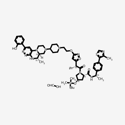 Cc1ncsc1-c1ccc([C@H](C)NC(=O)[C@@H]2C[C@@H](O[Si](C)(C)C(C)(C)C)CN2C(=O)[C@@H](c2cc(OCCN3CCC(N4CCN5c6cc(-c7ccccc7O)nnc6N[C@@H](C)[C@@H]5C4)CC3)no2)C(C)C)cc1.O=CO